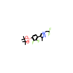 Cc1nn(CC(F)F)cc1-c1ccc(B2OC(C)(C)C(C)(C)O2)c(F)c1F